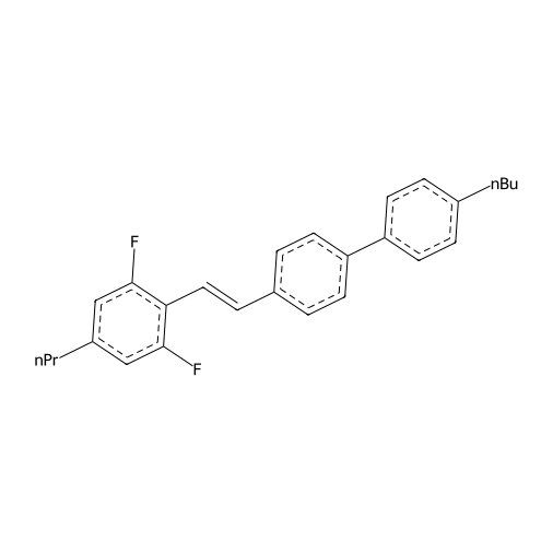 CCCCc1ccc(-c2ccc(C=Cc3c(F)cc(CCC)cc3F)cc2)cc1